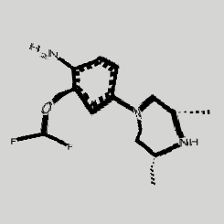 C[C@@H]1CN(c2ccc(N)c(OC(F)F)c2)C[C@H](C)N1